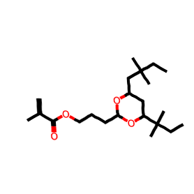 C=C(C)C(=O)OCCCC1OC(CC(C)(C)CC)CC(C(C)(C)CC)O1